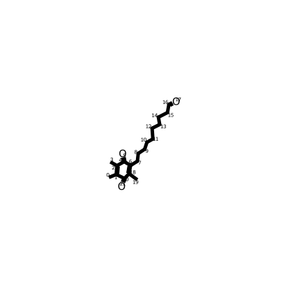 CC1=C(C)C(=O)C(CCCCCCCCCC=O)=C(C)C1=O